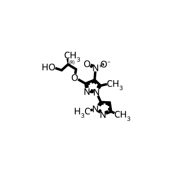 Cc1cc(-n2nc(OC[C@H](C)CO)c([N+](=O)[O-])c2C)n(C)n1